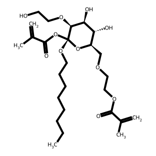 C=C(C)C(=O)OCCOC[C@H]1O[C@](OCCCCCCCC)(OC(=O)C(=C)C)[C@@H](OCCO)[C@@H](O)[C@@H]1O